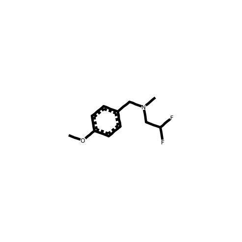 COc1ccc(CN(C)CC(F)F)cc1